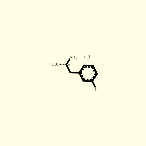 Cl.N[C@H](Cc1cccc(F)c1)C(=O)O